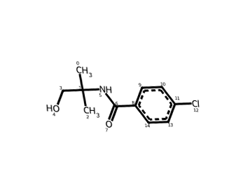 CC(C)(CO)NC(=O)c1ccc(Cl)cc1